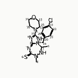 CC1NN(C)C(=S)N=C2N=C(N3CCOCC3)N[N+]21Cc1ccc(Cl)cc1